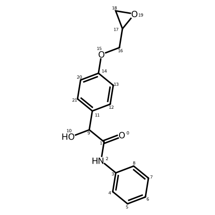 O=C(Nc1ccccc1)C(O)c1ccc(OCC2CO2)cc1